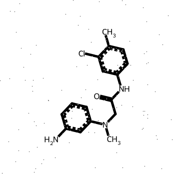 Cc1ccc(NC(=O)CN(C)c2cccc(N)c2)cc1Cl